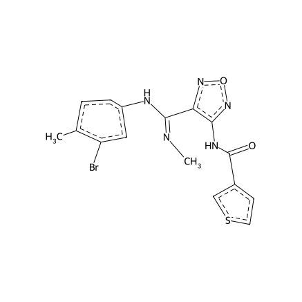 CN=C(Nc1ccc(C)c(Br)c1)c1nonc1NC(=O)c1ccsc1